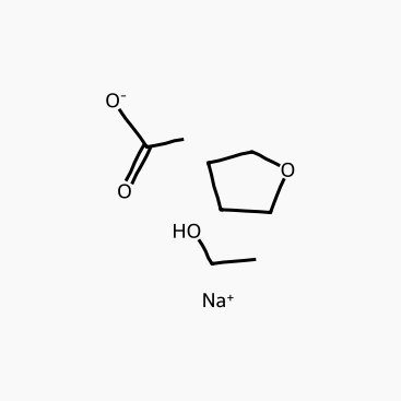 C1CCOC1.CC(=O)[O-].CCO.[Na+]